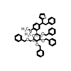 CN(C)c1ccc(C(Cc2ccccc2)c2cccs2)cc1[C@@H]1O[C@H](COCc2ccccc2)[C@@H](OCc2ccccc2)[C@H](OCc2ccccc2)[C@H]1OCc1ccccc1